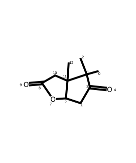 CC1(C)C(=O)CC2OC(=O)CC21C